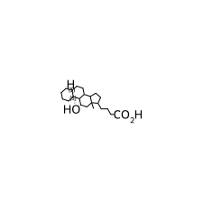 CC12CC(O)C3C(CC[C@@H]4CCCC[C@]34C)C1CCC2CCCC(=O)O